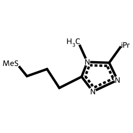 CSCCCc1nnc(C(C)C)n1C